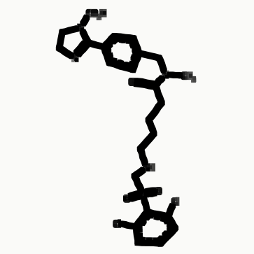 CN(Cc1ccc(C2=NCCN2C(=O)O)cc1)C(=O)CCCCNCS(=O)(=O)c1c(Cl)cccc1Cl